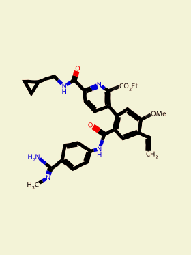 C=Cc1cc(C(=O)Nc2ccc(/C(N)=N/C)cc2)c(-c2ccc(C(=O)NCC3CC3)nc2C(=O)OCC)cc1OC